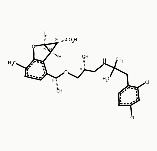 Cc1ccc([C@@H](C)OC[C@H](O)CNC(C)(C)Cc2ccc(Cl)cc2Cl)c2c1O[C@H]1[C@H](C(=O)O)[C@@H]21